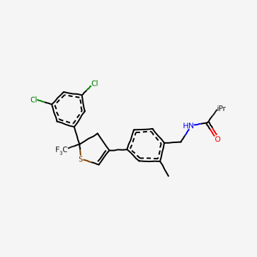 Cc1cc(C2=CSC(c3cc(Cl)cc(Cl)c3)(C(F)(F)F)C2)ccc1CNC(=O)C(C)C